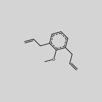 C=CCc1cccc(CC=C)c1OC